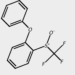 [O-][S+](c1ccccc1Oc1ccccc1)C(F)(F)F